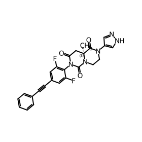 C[C@@]12CC(=O)N(c3c(F)cc(C#Cc4ccccc4)cc3F)C(=O)N1CCN(c1cn[nH]c1)C2=O